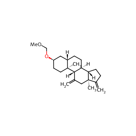 C=C1C[C@]2(C)C(=C)CC[C@H]2[C@@H]2CC[C@H]3C[C@H](OCOC)CC[C@]3(C)[C@@H]12